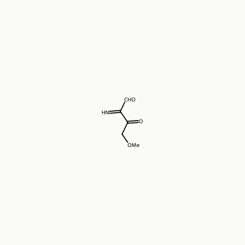 COCC(=O)C(=N)C=O